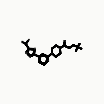 CC(C)(C)CCC(=O)N1CCN(c2cc(-c3noc(C(F)F)n3)ccn2)CC1